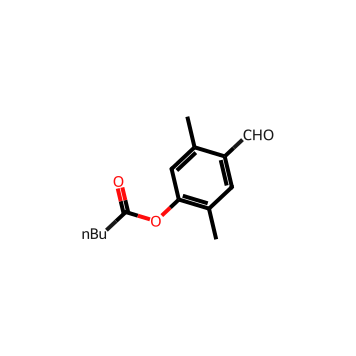 [CH2]CCCC(=O)Oc1cc(C)c(C=O)cc1C